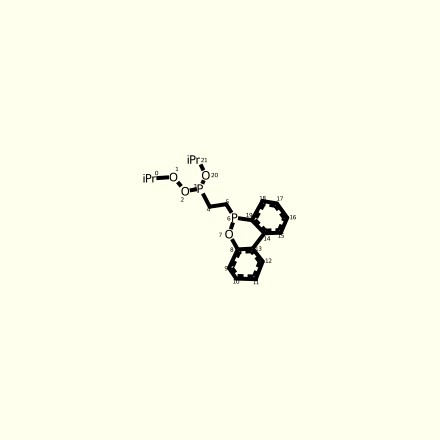 CC(C)OOP(CCP1Oc2ccccc2-c2ccccc21)OC(C)C